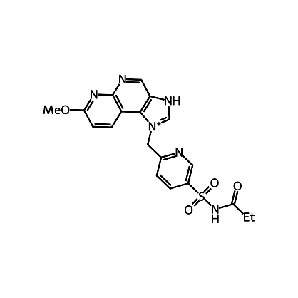 CCC(=O)NS(=O)(=O)c1ccc(C[n+]2c[nH]c3cnc4nc(OC)ccc4c32)nc1